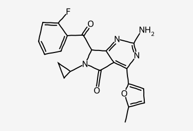 Cc1ccc(-c2nc(N)nc3c2C(=O)N(C2CC2)C3C(=O)c2ccccc2F)o1